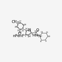 CCCCCc1sc(C(=O)NN2CCCCC2)nc1-c1ccc(Cl)cc1Cl